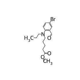 CCCN(CCCCC(=O)OC)c1ccc(Br)cc1C=O